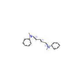 CN(/C=C/C=C/C=[N+](\C)c1ccccc1)c1ccccc1